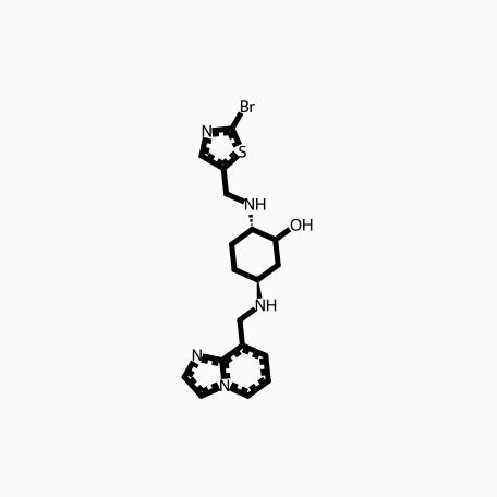 OC1C[C@@H](NCc2cccn3ccnc23)CC[C@@H]1NCc1cnc(Br)s1